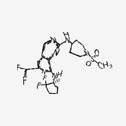 CS(=O)(=O)N1CCC(Nc2ncc3cc(C(F)F)nc(N[C@H]4CCCC4(F)F)c3n2)CC1